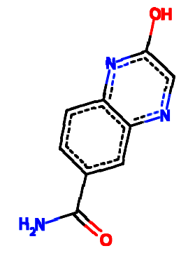 NC(=O)c1ccc2nc(O)cnc2c1